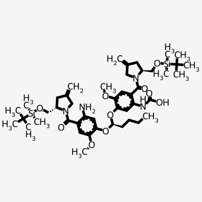 C=C1C[C@@H](CO[Si](C)(C)C(C)(C)C)N(C(=O)c2cc(OC)c(O[C@H](CCCC)Oc3cc(NC(=O)O)c(C(=O)N4CC(=C)C[C@H]4CO[Si](C)(C)C(C)(C)C)cc3OC)cc2N)C1